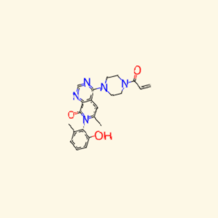 C=CC(=O)N1CCN(c2ncnc3c(=O)n(-c4c(C)cccc4O)c(C)cc23)CC1